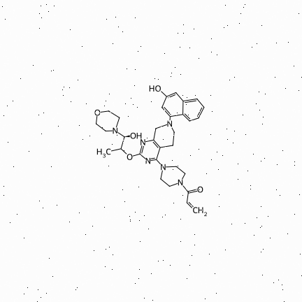 C=CC(=O)N1CCN(c2nc(OC(C)[C@H](O)N3CCOCC3)nc3c2CCN(c2cc(O)cc4ccccc24)C3)CC1